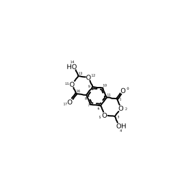 O=C1OC(O)Oc2cc3c(cc21)OC(O)OC3=O